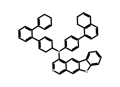 C1=CC(c2ccccc2C2=CCC(N(c3ccc(-c4cccc5c4CCC=C5)cc3)c3cncc4cc5oc6ccccc6c5cc34)C=C2)=CCC1